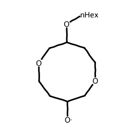 [CH2]CCCCCOC1CCOCC([O])CCOC1